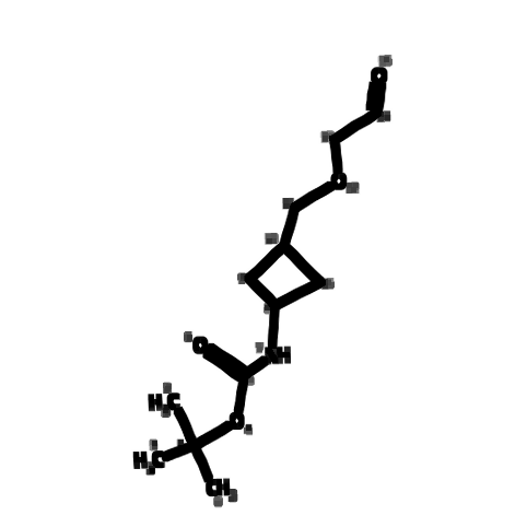 CC(C)(C)OC(=O)NC1CC(COCC=O)C1